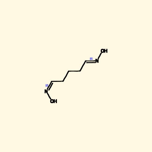 O/N=C\CCC/C=N/O